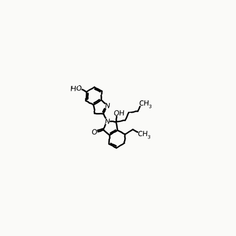 CCCCC1(O)C2=C(C=CCC2CC)C(=O)N1C1=Nc2ccc(O)cc2C1